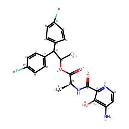 CC(OC(=O)[C@H](C)NC(=O)c1nccc(N)c1O)C(c1ccc(F)cc1)c1ccc(F)cc1